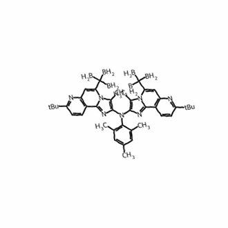 BC(B)(B)c1cc2nc(C(C)(C)C)ccc2c2nc(N(c3nc4c5ccc(C(C)(C)C)nc5cc(C(B)(B)B)n4c3C)c3c(C)cc(C)cc3C)c(C)n12